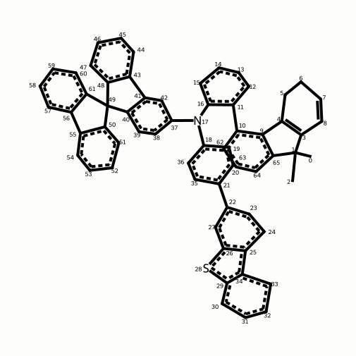 CC1(C)C2=C(CCC=C2)c2c(-c3ccccc3N(c3ccc(-c4ccc5c(c4)sc4ccccc45)cc3)c3ccc4c(c3)-c3ccccc3C43c4ccccc4-c4ccccc43)cccc21